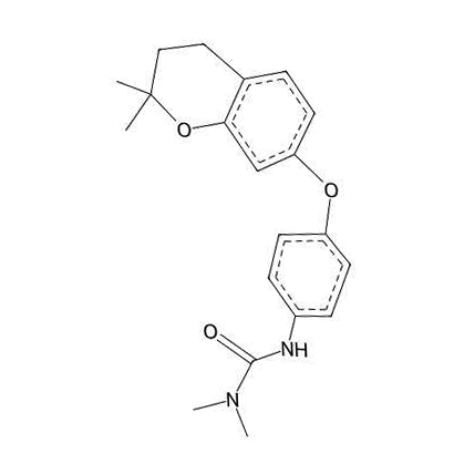 CN(C)C(=O)Nc1ccc(Oc2ccc3c(c2)OC(C)(C)CC3)cc1